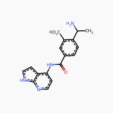 CC(N)c1ccc(C(=O)Nc2ccnc3[nH]ccc23)cc1C(=O)O